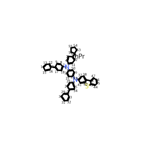 CCCC1(c2ccc(N(c3ccc(-c4ccccc4)cc3)c3ccc(N(c4ccc(-c5ccccc5)cc4)c4ccc5c(c4)sc4ccccc45)cc3)cc2)CCCC1